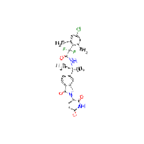 Bc1cc(Cl)cc(B)c1C(F)(F)C(=O)NC(B)(B)c1ccc2c(c1)CN(C1CCC(=O)NC1=O)C2=O